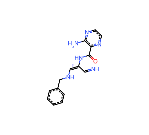 N=C/C(=C\NCc1ccccc1)NC(=O)c1nccnc1N